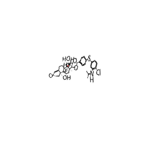 CC(C)Nc1cc(Sc2ccc([C@@H]3O[C@@H]4CC5[C@@H]6CCC7=CC(=O)C=C[C@]7(C)[C@@]6(F)[C@@H](O)C[C@]5(C)[C@]4(C(=O)CO)O3)cc2)ccc1Cl